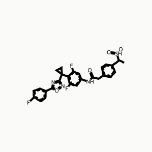 CC(c1ccc(CC(=O)Nc2cc(F)c(C3(c4noc(-c5ccc(F)cc5)n4)CC3)c(F)c2)cc1)[SH](=O)=O